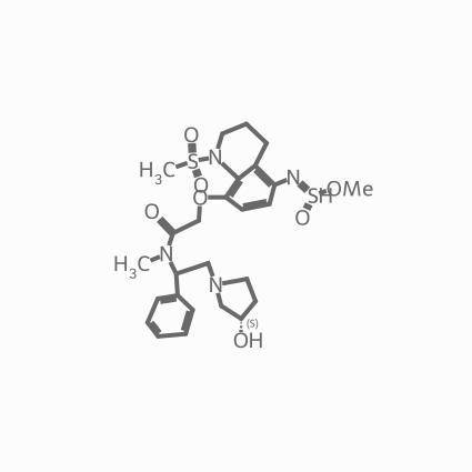 CO[SH](=O)=Nc1ccc(OCC(=O)N(C)C(CN2CC[C@H](O)C2)c2ccccc2)c2c1CCCN2S(C)(=O)=O